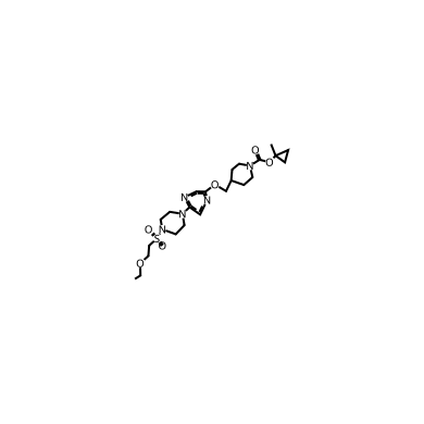 CCOCCS(=O)(=O)N1CCN(c2cnc(OCC3CCN(C(=O)OC4(C)CC4)CC3)cn2)CC1